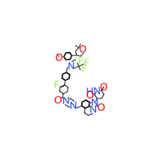 COc1ccc([C@]2(CCN(Cc3ccc(C4=C(F)CC(C(=O)N5CCN(Cc6ccc7c8c6CCCn8c(=O)n7C6CCC(=O)NC6=O)CC5)CC4)cc3)CC(C)(C)C(F)(F)F)CCOC(C)(C)C2)cc1